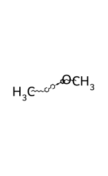 CCCCCCC[C@H]1CC[C@H]([C@H]2CC[C@H](C#Cc3ccc(OCCCCC)cc3)CC2)CC1